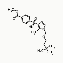 COC(=O)c1ccc(S(=N)(=O)c2ncn(COCC[Si](C)(C)C)c2C)cc1